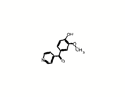 COc1cc(C(=O)c2ccncc2)ccc1O